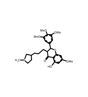 COc1cc(O)c2c(c1)OC(c1cc(OC)c(OC)c(OC)c1)C(CCCC1CCN(C)C1)C2=O